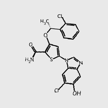 C[C@@H](Oc1cc(-n2cnc3cc(O)c(Cl)cc32)sc1C(N)=O)c1ccccc1Cl